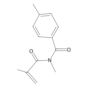 C=C(C)C(=O)N(C)C(=O)c1ccc(C)cc1